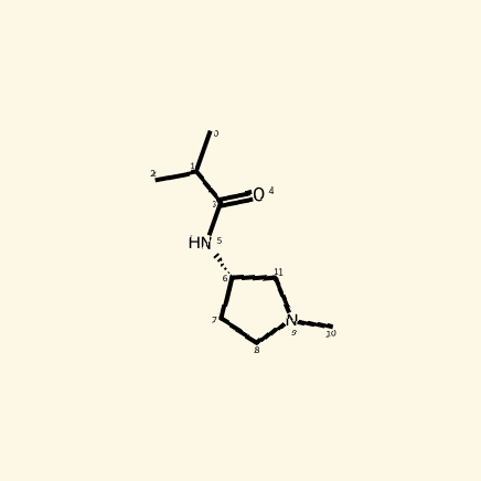 CC(C)C(=O)N[C@H]1CCN(C)C1